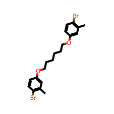 Cc1cc(OCCCCCCOc2ccc(Br)c(C)c2)ccc1Br